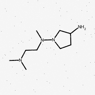 CN(C)CCN(C)N1CCC(N)C1